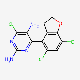 Nc1nc(Cl)c(N)c(-c2c(Cl)cc(Cl)c3c2CCO3)n1